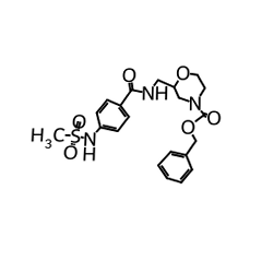 CS(=O)(=O)Nc1ccc(C(=O)NCC2CN(C(=O)OCc3ccccc3)CCO2)cc1